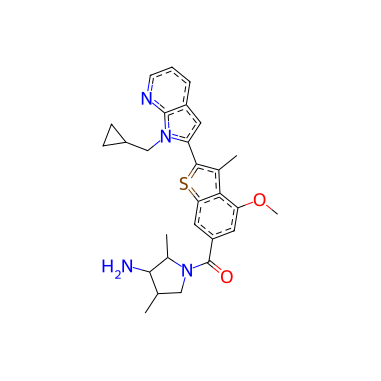 COc1cc(C(=O)N2CC(C)C(N)C2C)cc2sc(-c3cc4cccnc4n3CC3CC3)c(C)c12